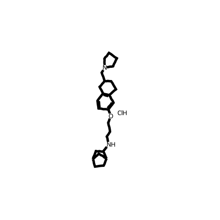 Cl.c1cc2c(cc1OCCCNC1CC3CCC1C3)CCC(CN1CCCC1)C2